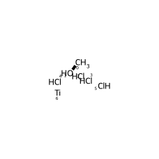 CO.Cl.Cl.Cl.Cl.[Ti]